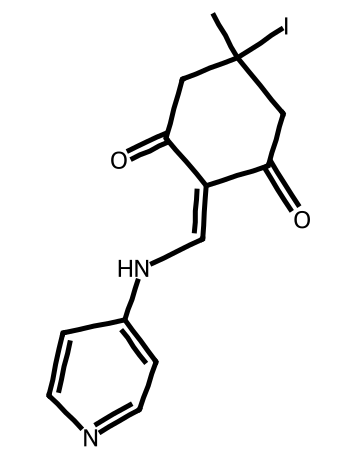 CC1(I)CC(=O)C(=CNc2ccncc2)C(=O)C1